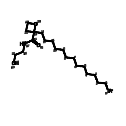 CC(C)CCCCCCCCCCCCCC1(C(=O)NCCO)CCO1